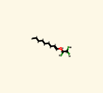 CCCCCCCC=COC(F)C(F)F